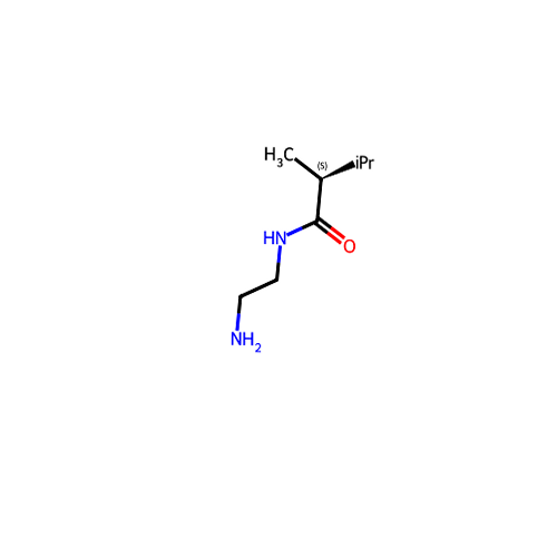 CC(C)[C@H](C)C(=O)NCCN